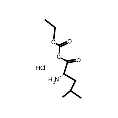 CCOC(=O)OC(=O)[C@@H](N)CC(C)C.Cl